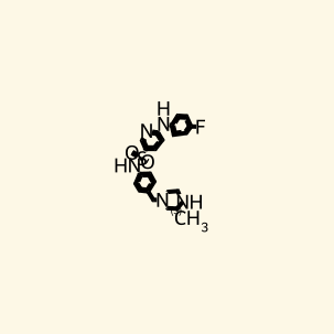 C[C@H]1CN(Cc2ccc(NS(=O)(=O)c3ccc(Nc4ccc(F)cc4)nc3)cc2)CCN1